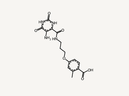 Cc1cc(OCCCNC(=O)c2[nH]c(=O)[nH]c(=O)c2N)ccc1C(=O)O